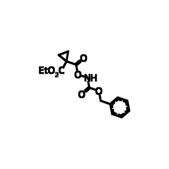 CCOC(=O)C1(C(=O)ONC(=O)OCc2ccccc2)CC1